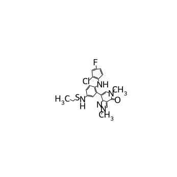 CCSNc1ccc(Nc2ccc(F)cc2Cl)c(-c2cn(C)c(=O)c3cn(C)nc23)c1